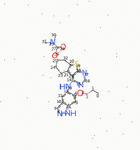 CCCOc1cc2[nH]ncc2cc1Nc1ncnc2sc3c(c12)CCC(OC(=O)N(C)C)C3